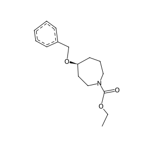 CCOC(=O)N1CCC[C@H](OCc2ccccc2)CC1